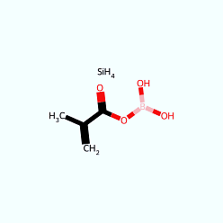 C=C(C)C(=O)OB(O)O.[SiH4]